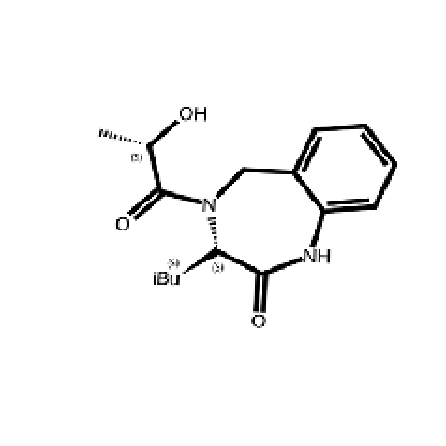 CC[C@H](C)[C@H]1C(=O)Nc2ccccc2CN1C(=O)[C@H](C)O